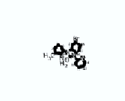 Cc1cccc(-n2c(=O)n(-c3ccccn3)c3ccc(Br)cc32)c1N